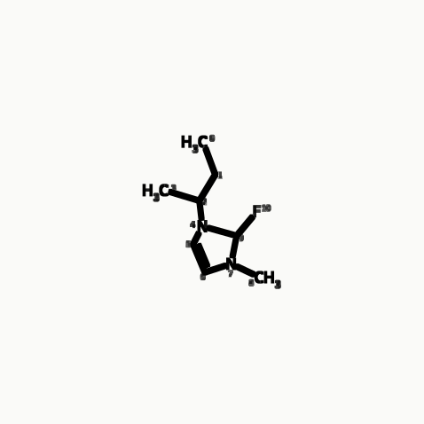 CCC(C)N1C=CN(C)C1F